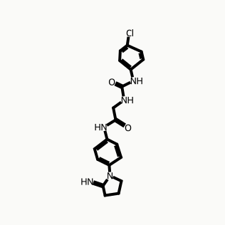 N=C1CCCN1c1ccc(NC(=O)CNC(=O)Nc2ccc(Cl)cc2)cc1